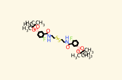 CC1(C)OB(c2ccc(F)c(C(=O)NCCSSCCNC(=O)c3cc(B4OC(C)(C)C(C)(C)O4)ccc3F)c2)OC1(C)C